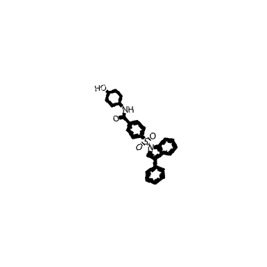 O=C(NC1CCC(O)CC1)c1ccc(S(=O)(=O)n2cc(-c3ccccc3)c3ccccc32)cc1